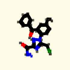 Cc1ccc(-n2nc(C(N)=O)nc2CCl)c(C(=O)c2ccccc2)c1